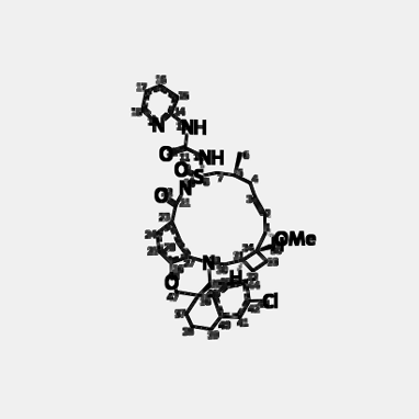 CO[C@H]1/C=C/C[C@H](C)C[S@@](=O)(NC(=O)Nc2ccccn2)=NC(=O)c2ccc3c(c2)N(C[C@@H]2CC[C@H]21)C[C@@]1(CCCc2cc(Cl)ccc21)CO3